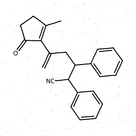 C=C(CC(c1ccccc1)C(C#N)c1ccccc1)C1=C(C)CCC1=O